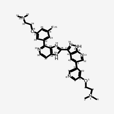 CN(C)CCOc1cncc(-c2cnc3[nH]nc(-c4nc5c(-c6cc(F)cc(OCCN(C)C)c6)nccc5[nH]4)c3c2)c1